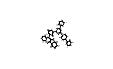 c1ccc(-c2ccc(-c3cc(-c4ccccc4)nc(-c4cccc(-c5c6ccccc6nc6c5sc5ccccc56)c4)n3)cc2)cc1